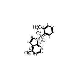 Cc1ccccc1S(=O)(=O)n1ccc2c(Cl)ncnc21